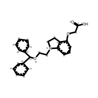 O=C(O)COc1cccc2c1CCN2CCOC(c1ccccc1)c1ccccc1